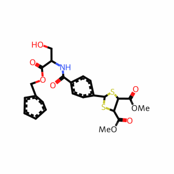 COC(=O)C1SC(c2ccc(C(=O)NC(CO)C(=O)OCc3ccccc3)cc2)SC1C(=O)OC